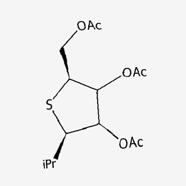 CC(=O)OC[C@@H]1S[C@H](C(C)C)C(OC(C)=O)C1OC(C)=O